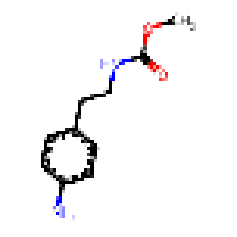 COC(=O)NCCc1ccc(N)cc1